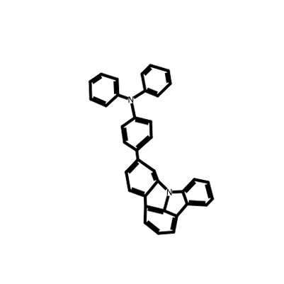 c1ccc(N(c2ccccc2)c2ccc(-c3ccc4c5cccc6c7ccccc7n(c4c3)c65)cc2)cc1